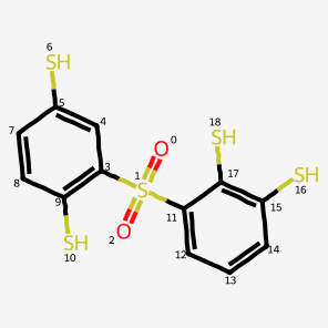 O=S(=O)(c1cc(S)ccc1S)c1cccc(S)c1S